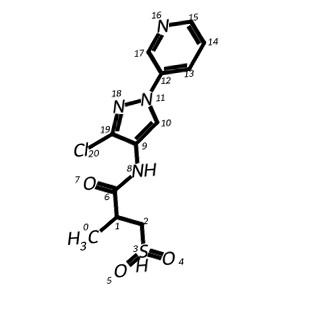 CC(C[SH](=O)=O)C(=O)Nc1cn(-c2cccnc2)nc1Cl